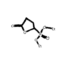 CCOP(=O)(OCC)C1CCC(=O)O1